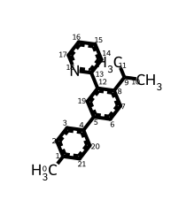 Cc1ccc(-c2ccc(C(C)C)c(-c3ccccn3)c2)cc1